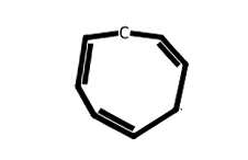 [CH]1/C=C\C=C/C/C=C\1